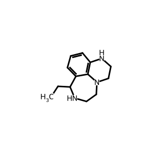 CCC1NCCN2CCNc3cccc1c32